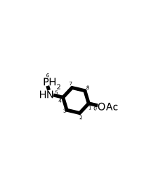 CC(=O)OC1CCC(NP)CC1